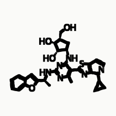 Cc1nc(N[C@@H](C)c2cc3ccccc3o2)nc(N[C@@H]2C[C@H](CO)[C@@H](O)[C@H]2O)c1-c1nc2c(C3CC3)nccc2s1